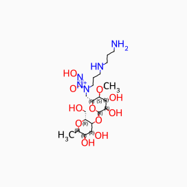 CO[C@H]1[C@H](O)[C@@H](O)[C@@H](OC2[C@@H](CO)O[C@H](C)[C@H](O)[C@H]2O)O[C@@H]1CN(CCCNCCCN)/[N+]([O-])=N/O